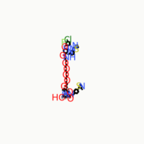 Cc1ncsc1-c1ccc(CNC(=O)[C@@H]2C[C@@H](O)CN2C(=O)[C@@H](CC(=O)CCOCCOCCOCCOCCNC(=O)[C@]2(Cc3cccc(Nc4nccs4)n3)CC[C@@H](Oc3cccc(Cl)c3F)CC2)C(C)(C)C)cc1